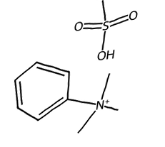 C[N+](C)(C)c1ccccc1.O=S(=O)(O)O